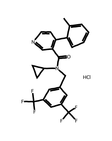 Cc1ccccc1-c1ccncc1C(=O)N(Cc1cc(C(F)(F)F)cc(C(F)(F)F)c1)C1CC1.Cl